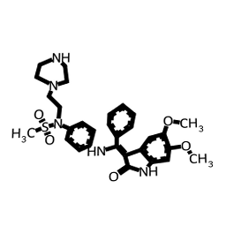 COc1cc2c(cc1OC)/C(=C(/Nc1ccc(N(CCN3CCNCC3)S(C)(=O)=O)cc1)c1ccccc1)C(=O)N2